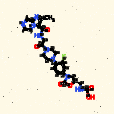 Cc1nc2cnccn2c1C(=O)NCC(=O)N1CCN(c2ccc(N3C[C@H](CNC(=O)O)OC3=O)cc2F)CC1